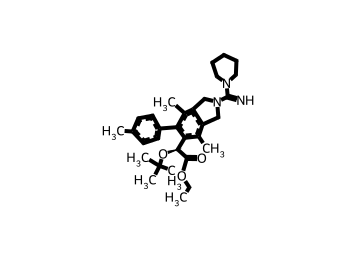 CCOC(=O)[C@@H](OC(C)(C)C)c1c(C)c2c(c(C)c1-c1ccc(C)cc1)CN(C(=N)N1CCCCC1)C2